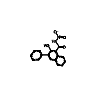 O=C(N[N+](=O)[O-])c1c(O)c(-c2ccccc2)cc2ccccc12